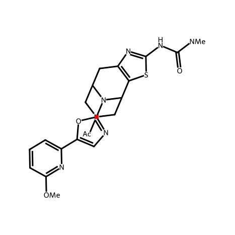 CNC(=O)Nc1nc2c(s1)C1CN(C(C)=O)CC(C2)N1c1ncc(-c2cccc(OC)n2)o1